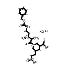 Cl.Cl.NC(C(=O)N1CC(CCB(O)O)CC(C(=O)O)C1)[C@H](N)CCNC(=O)OCc1ccccc1